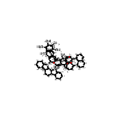 Bc1c(B)c(B)c(-c2cc(-c3c(B)c(B)c(B)c(O)c3B)cc(-n3c4ccccc4c4ccc5c6ccccc6n(-c6nc(C7=CCCC=C7)nc(-c7ccc(-c8cccc9cccc(-c%10ccccc%10)c89)cc7)n6)c5c43)c2)c(B)c1B